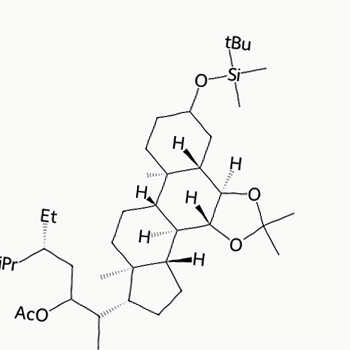 CC[C@H](CC(OC(C)=O)C(C)[C@H]1CC[C@H]2[C@@H]3[C@H]4OC(C)(C)O[C@@H]4[C@H]4CC(O[Si](C)(C)C(C)(C)C)CC[C@]4(C)[C@H]3CC[C@]12C)C(C)C